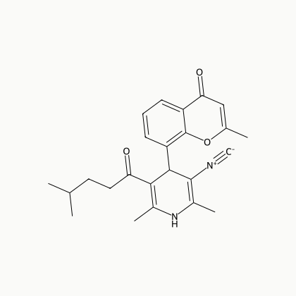 [C-]#[N+]C1=C(C)NC(C)=C(C(=O)CCC(C)C)C1c1cccc2c(=O)cc(C)oc12